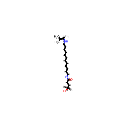 C=C(C)C(=C)NCCCCCCCCCCCCNC(=O)CCC(O)(CC)CC